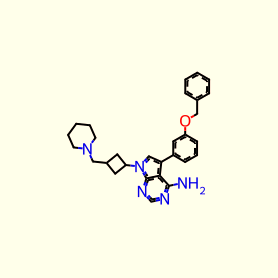 Nc1ncnc2c1c(-c1cccc(OCc3ccccc3)c1)cn2C1CC(CN2CCCCC2)C1